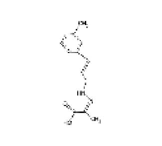 CC(=NNCC=Cc1cccc(C)c1)C(=O)O